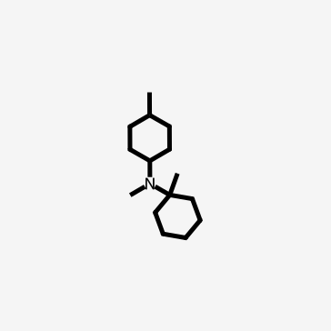 CC1CCC(N(C)C2(C)CCCCC2)CC1